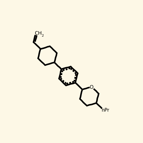 C=CC1CCC(c2ccc(C3CCC(CCC)CO3)cc2)CC1